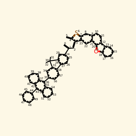 C=C(/C=c1\c(=C)sc2cc3ccc4c5ccccc5oc4c3cc12)c1ccc2c(c1)C(C)(C)c1cc(-c3c4ccccc4c(-c4ccccc4)c4ccccc34)ccc1-2